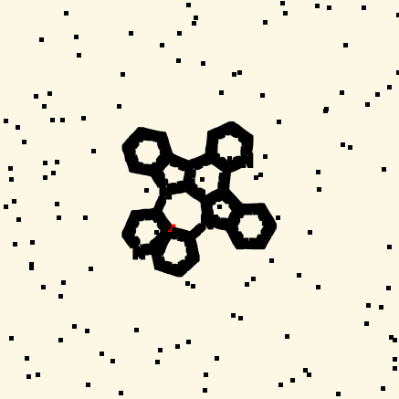 c1ccc(-n2c3ccccc3c3c4ncccc4c4c5ccccc5n(-c5ccncc5)c4c32)cc1